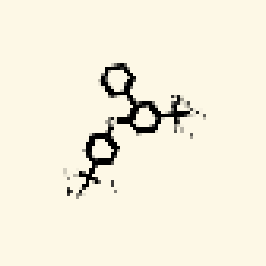 CC(C)(C)c1ccc(Nc2ccc(C(C)(C)C)cc2C2=CCCC=C2)cc1